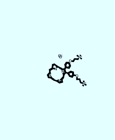 C[N+](C)(C)CCCOc1ccc(C2=C(c3ccc(OCCC[N+](C)(C)C)cc3)C3=NC2=CC2=NC(=CC4=NC(=CC5=NC(=C3)C=C5)C=C4)C=C2)cc1.[Cl-].[Cl-]